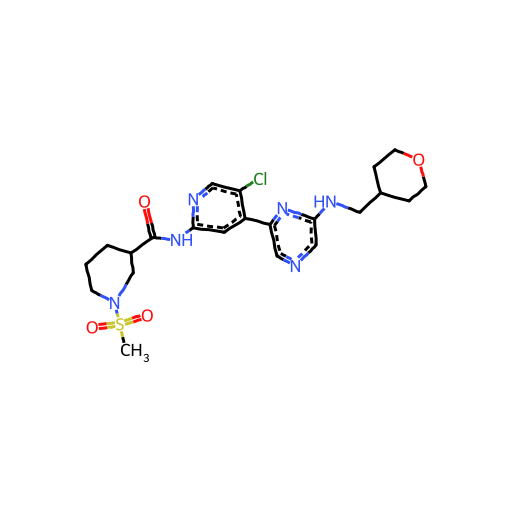 CS(=O)(=O)N1CCCC(C(=O)Nc2cc(-c3cncc(NCC4CCOCC4)n3)c(Cl)cn2)C1